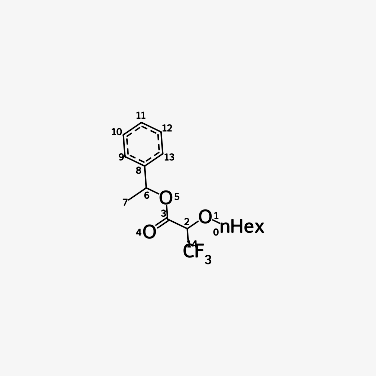 CCCCCCOC(C(=O)OC(C)c1ccccc1)C(F)(F)F